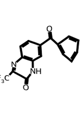 O=C(c1ccccc1)c1ccc2nc(C(F)(F)F)c(=O)[nH]c2c1